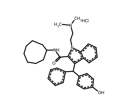 CN(C)CCn1c(C(=O)NC2CCCCCCC2)c(C(c2ccccc2)c2ccc(O)cc2)c2ccccc21.Cl